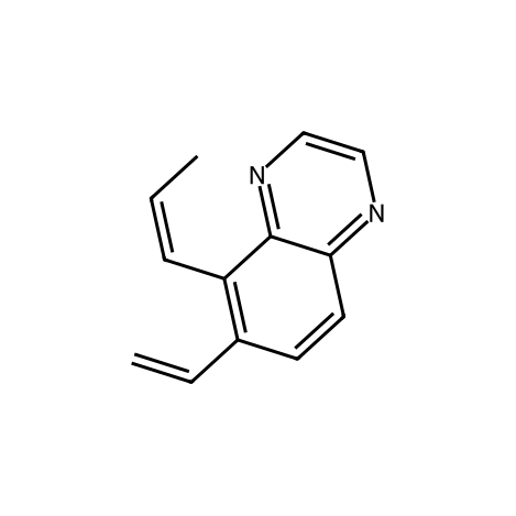 C=Cc1ccc2nccnc2c1/C=C\C